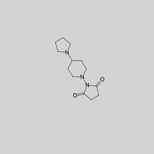 O=C1CCC(=O)N1N1CCC(N2CCCC2)CC1